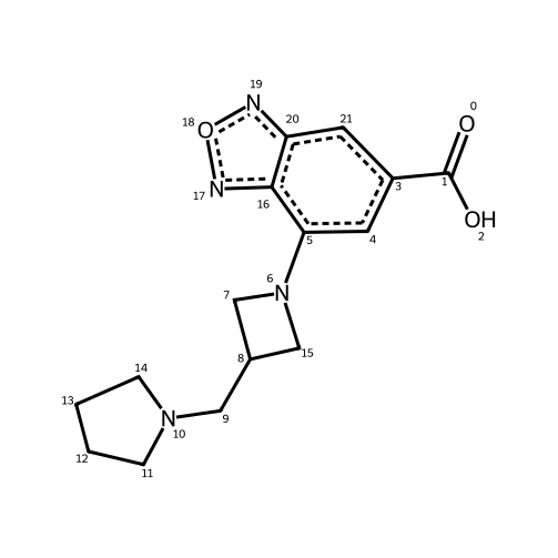 O=C(O)c1cc(N2CC(CN3CCCC3)C2)c2nonc2c1